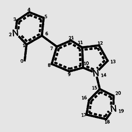 Cc1ncccc1-c1ccc2c(ccn2-c2cccnc2)c1